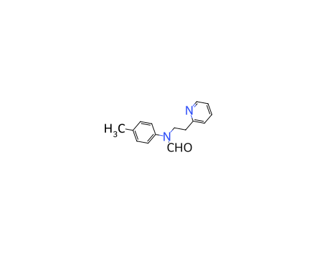 Cc1ccc(N(C=O)CCc2ccccn2)cc1